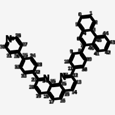 c1ccc2c(c1)cc(-c1ccc(-c3ccc4ccc5ccc(-c6ccc(-c7ccncc7)cc6)nc5c4n3)cc1)c1ccccc12